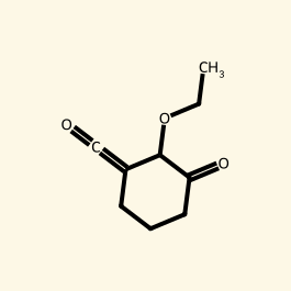 CCOC1C(=O)CCCC1=C=O